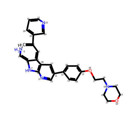 C=C(/C=c1\c(=C/N)[nH]c2ncc(-c3ccc(OCCN4CCOCC4)cc3)cc12)c1cccnc1